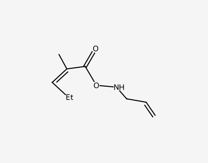 C=CCNOC(=O)C(C)=CCC